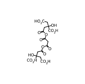 O=C(O)CC(O)(CC(=O)OC(=O)CC(=O)OC(=O)CC(O)(CC(=O)O)C(=O)O)C(=O)O